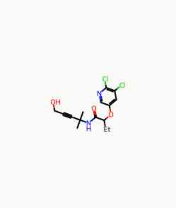 CCC(Oc1cnc(Cl)c(Cl)c1)C(=O)NC(C)(C)C#CCO